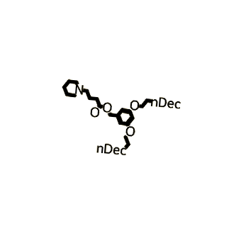 CCCCCCCCCCCCOc1cc(COC(=O)CCCN2CCCCC2)cc(OCCCCCCCCCCCC)c1